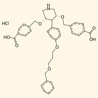 Cl.O=C(O)c1ccc(CO[C@H]2CNC[C@@H](OCc3ccc(C(=O)O)cc3)C2c2ccc(OCCCOCc3ccccc3)cc2)cc1